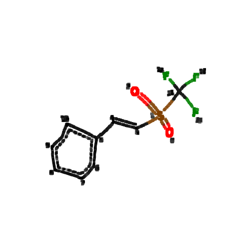 O=S(=O)(C=Cc1ccccc1)C(F)(F)F